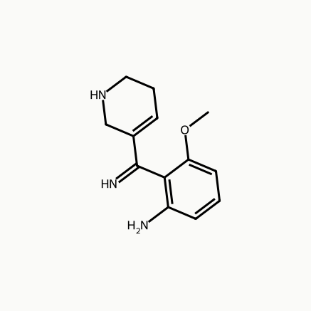 COc1cccc(N)c1C(=N)C1=CCCNC1